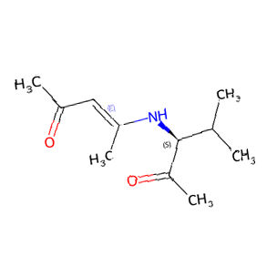 CC(=O)/C=C(\C)N[C@H](C(C)=O)C(C)C